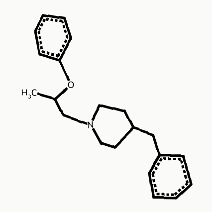 CC(CN1CCC(Cc2ccccc2)CC1)Oc1ccccc1